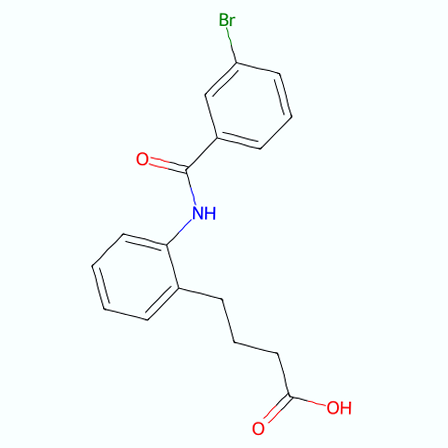 O=C(O)CCCc1ccccc1NC(=O)c1cccc(Br)c1